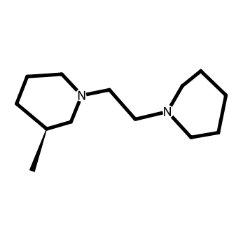 C[C@H]1CCCN(CCN2CCCCC2)C1